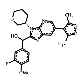 COc1ccc(C(O)c2nc3cc(-c4c(C)noc4C)cnc3n2[C@H]2CCCOC2)cc1F